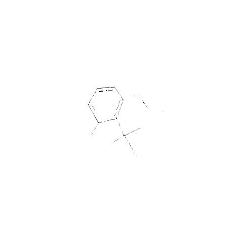 CCc1ccccc1C(N)(CC)CC.O=S(=O)(O)O